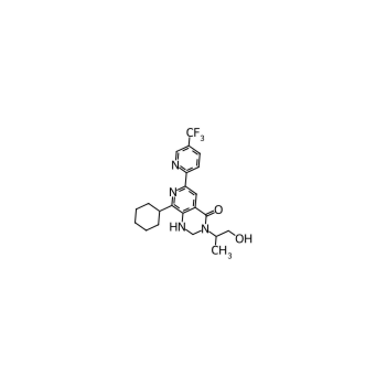 CC(CO)N1CNc2c(cc(-c3ccc(C(F)(F)F)cn3)nc2C2CCCCC2)C1=O